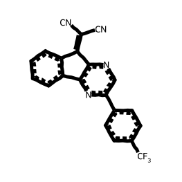 [C-]#[N+]/C(C#N)=C1\c2ccccc2-c2nc(-c3ccc(C(F)(F)F)cc3)cnc21